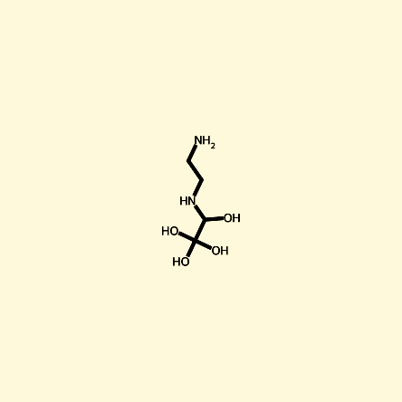 NCCNC(O)C(O)(O)O